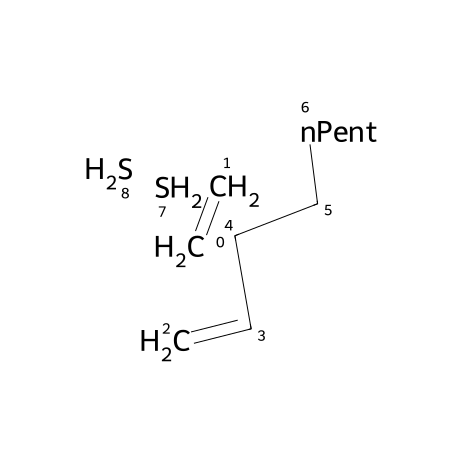 C=C.C=CCCCCCCC.S.S